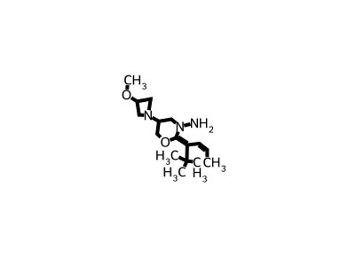 C/C=C\C(=C1\OCC(N2CC(OC)C2)CN1N)C(C)(C)C